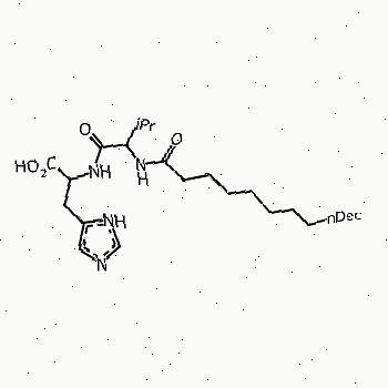 CCCCCCCCCCCCCCCCCC(=O)NC(C(=O)NC(Cc1cnc[nH]1)C(=O)O)C(C)C